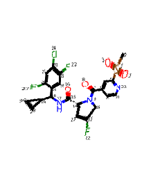 CS(=O)(=O)c1cc(C(=O)N2C[C@@H](F)C[C@@H]2C(=O)NC(c2cc(F)c(Cl)cc2F)C2CC2)ccn1